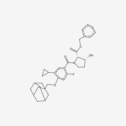 O=C(OCc1ccccc1)[C@@H]1[C@H](O)CCN1C(=O)c1cc(C2CC2)c(OCC23CC4CC(CC(C4)C2)C3)cc1F